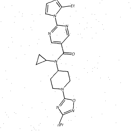 CCCc1noc(N2CCC(N(C(=O)c3cnc(-n4ccnc4CC)nc3)C3CC3)CC2)n1